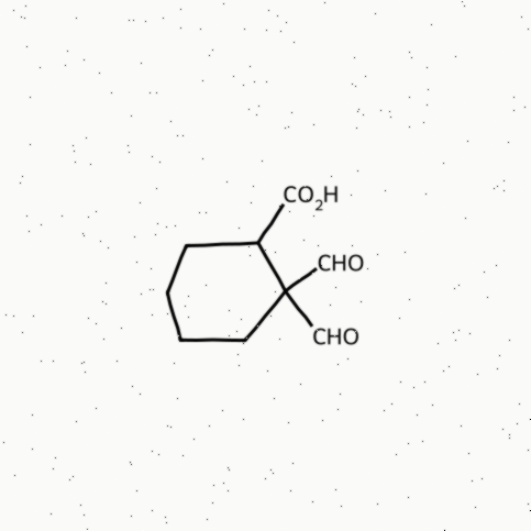 O=CC1(C=O)CCCCC1C(=O)O